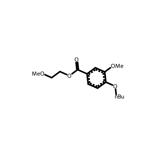 CCCCOc1ccc(C(=O)OCCOC)cc1OC